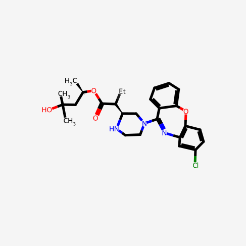 CCC(C(=O)O[C@H](C)CC(C)(C)O)[C@H]1CN(C2=Nc3cc(Cl)ccc3Oc3ccccc32)CCN1